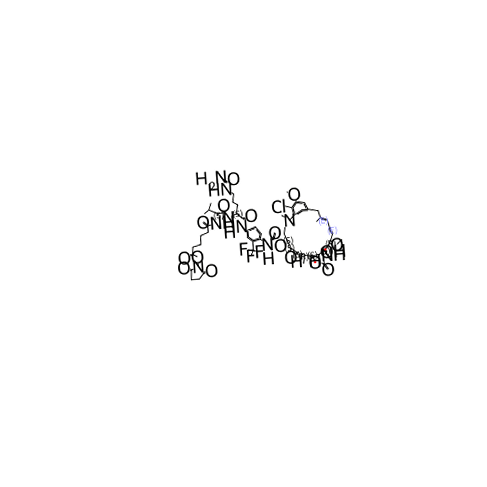 COc1cc2cc(c1Cl)N(C)CC[C@H](OC(=O)Nc1ccc(NC(=O)[C@H](CCCNC(N)=O)NC(=O)[C@@H](NC(=O)CCCCC(=O)ON3C(=O)CCC3=O)C(C)C)cc1C(F)(F)F)[C@]1(C)O[C@H]1[C@H](C)[C@@H]1C[C@@](O)(NC(=O)O1)[C@H](OC)/C=C/C=C(\C)C2